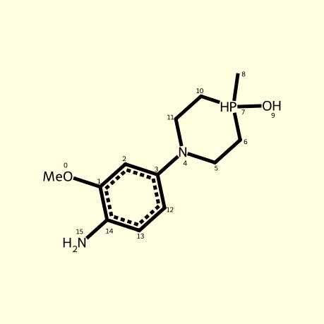 COc1cc(N2CC[PH](C)(O)CC2)ccc1N